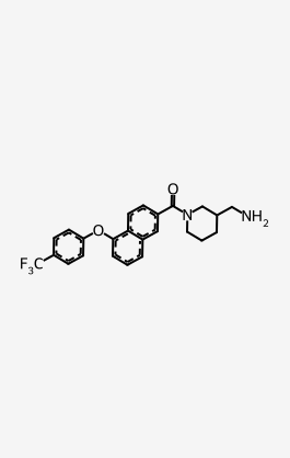 NCC1CCCN(C(=O)c2ccc3c(Oc4ccc(C(F)(F)F)cc4)cccc3c2)C1